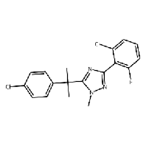 Cn1nc(-c2c(F)cccc2Cl)nc1C(C)(C)c1ccc(Cl)cc1